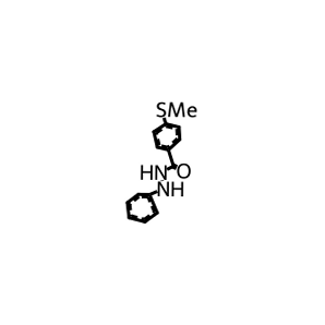 CSc1ccc(C(=O)NNc2ccccc2)cc1